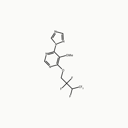 COc1c(OCC(F)(F)C(F)C(F)(F)F)ncnc1-n1cncn1